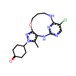 Cc1c2c(nn1C1CCC(=O)CC1)OCCCNc1nc(ncc1Cl)N2